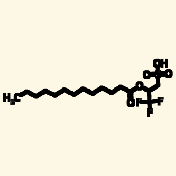 CCCCCCCCCCCCC(=O)OC(CS(=O)(=O)O)C(F)(F)F